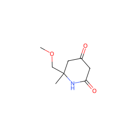 COCC1(C)CC(=O)CC(=O)N1